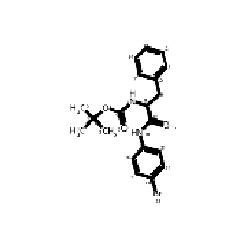 CC(C)(C)OC(=O)NC(Cc1ccccc1)C(=O)Nc1ccc(Br)cc1